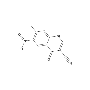 Cc1cc2[nH]cc(C#N)c(=O)c2cc1[N+](=O)[O-]